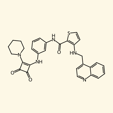 O=C(Nc1cccc(Nc2c(N3CCCCC3)c(=O)c2=O)c1)c1sccc1NCc1ccnc2ccccc12